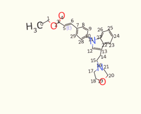 CCOC(=O)/C=C/c1ccc(-n2cc(CCN3CCOCC3)c3ccccc32)cc1